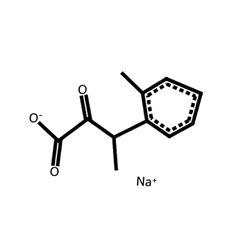 Cc1ccccc1C(C)C(=O)C(=O)[O-].[Na+]